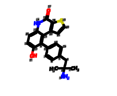 CC(C)(N)Cc1ccc(-c2c(O)ccc3[nH]c(=O)c4sccc4c23)cc1